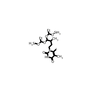 CCC(O[SiH3])OC(OC(CC)O[SiH3])C(C)CCn1c(I)c(C)c(=O)[nH]c1=O